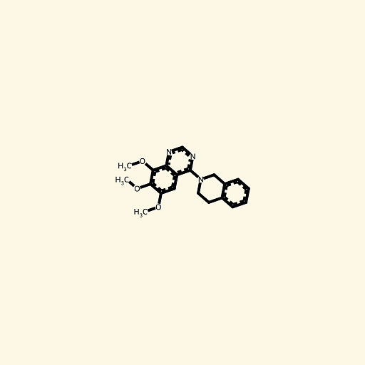 COc1cc2c(N3CCc4ccccc4C3)ncnc2c(OC)c1OC